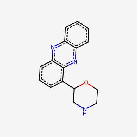 c1ccc2nc3c(C4CNCCO4)cccc3nc2c1